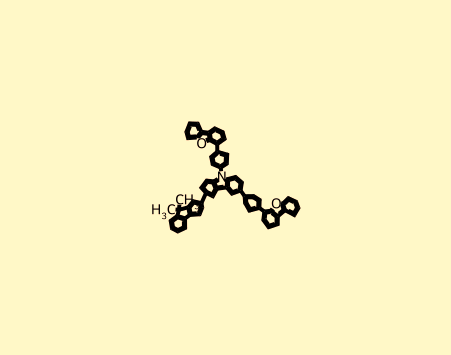 CC1(C)c2ccccc2-c2ccc(-c3ccc4c(c3)c3cc(-c5ccc(-c6cccc7c6oc6ccccc67)cc5)ccc3n4-c3ccc(-c4cccc5c4oc4ccccc45)cc3)cc21